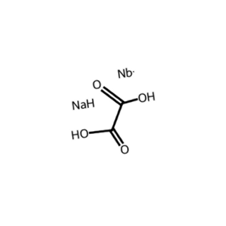 O=C(O)C(=O)O.[NaH].[Nb]